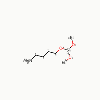 CCO[SiH](OCC)OCCCCNC